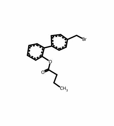 CCCC(=O)Oc1ccccc1-c1ccc(CBr)cc1